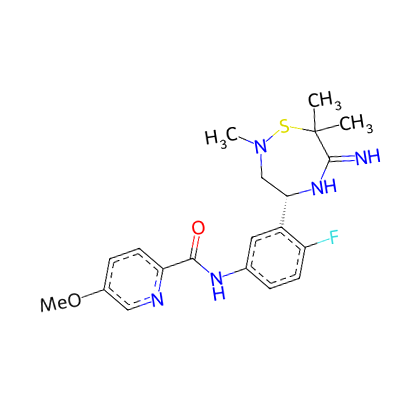 COc1ccc(C(=O)Nc2ccc(F)c([C@@H]3CN(C)SC(C)(C)C(=N)N3)c2)nc1